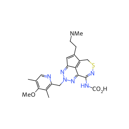 CNCCc1cc2nn(Cc3ncc(C)c(OC)c3C)nc3c-2c1CSN=C3NC(=O)O